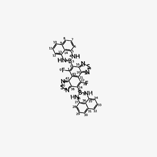 Fc1c(B2Nc3cccc4cccc(c34)N2)c2nsnc2c2c(F)c(B3Nc4cccc5cccc(c45)N3)c3nsnc3c12